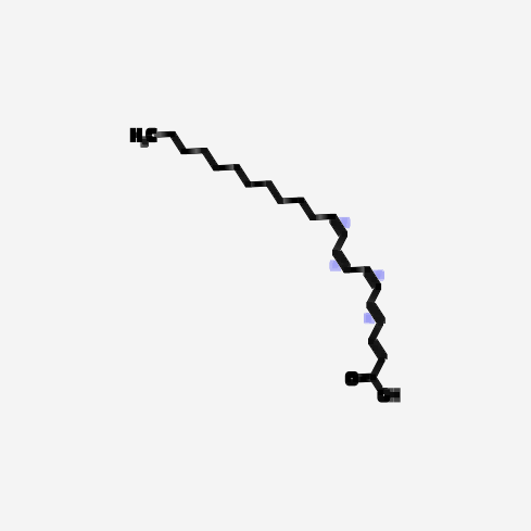 CCCCCCCCCCC\C=C/C=C\C=C/C=C/C=CC(=O)O